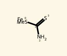 CSC(N)=S.[Fe]